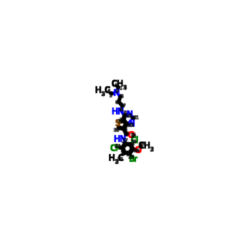 CCN(CC)CCCNc1ncnc2c(C(=O)Nc3c(Cl)c(C)c(Br)c(OC)c3Cl)csc12